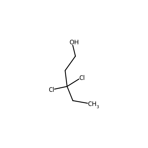 CCC(Cl)(Cl)CCO